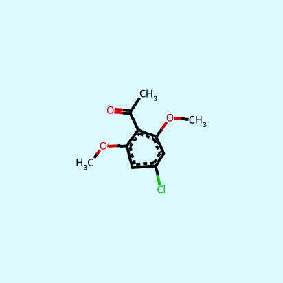 COc1cc(Cl)cc(OC)c1C(C)=O